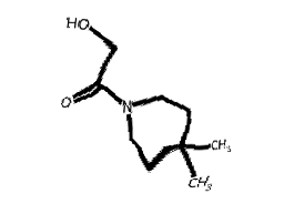 CC1(C)CCN(C(=O)CO)CC1